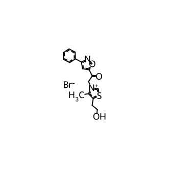 Cc1c(CCO)sc[n+]1CC(=O)c1cc(-c2ccccc2)no1.[Br-]